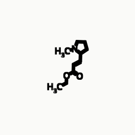 CCOC(=O)/C=C/C1CCCN1C